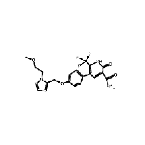 COCCn1nccc1COc1ccc(-c2cc(C(N)=O)c(=O)[nH]c2C(F)(F)F)cc1